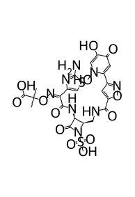 CC(C)(O/N=C(\C(=O)N[C@@H]1C(=O)N(S(=O)(=O)O)[C@@H]1CNC(=O)c1cc(-c2cc(=O)c(O)cn2O)no1)c1csc(N)n1)C(=O)O